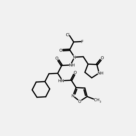 Cc1cc(C(=O)NC(CC2CCCCC2)C(=O)NN(CC2CCNC2=O)C(=O)C(F)Cl)no1